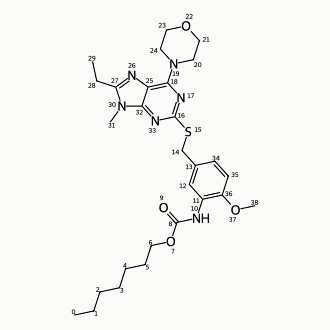 CCCCCCCOC(=O)Nc1cc(CSc2nc(N3CCOCC3)c3nc(CC)n(C)c3n2)ccc1OC